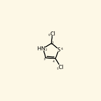 Cl[C]1NC=C(Cl)S1